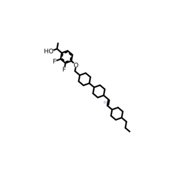 CCCC1CCC(/C=C/C2CCC(C3CCC(COc4ccc(C(C)O)c(F)c4F)CC3)CC2)CC1